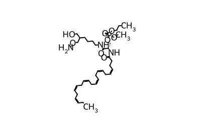 CC/C=C\C/C=C\C/C=C\C/C=C\C/C=C\C/C=C\CCC(=O)N[C@@H](COP(=O)(OC)OCCC)C(=O)NCCCCC(CO)CON